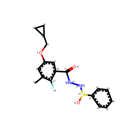 Cc1cc(OCC2CC2)cc(C(=O)NN[S+]([O-])c2ccccc2)c1F